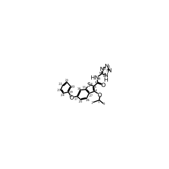 CC(C)Oc1c(C(=O)Nc2nnn[nH]2)sc2cc(Oc3ccccc3)ccc12